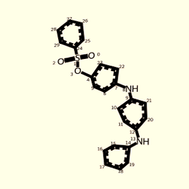 O=S(=O)(Oc1ccc(Nc2ccc(Nc3ccccc3)cc2)cc1)c1ccccc1